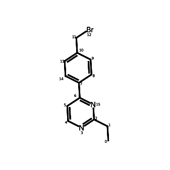 CCc1nccc(-c2ccc(CBr)cc2)n1